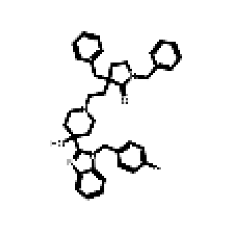 O=C1N(Cc2ccccc2)CCC1(CCN1CCC(O)(c2nc3ccccc3n2Cc2ccc(F)cc2)CC1)Cc1ccccc1